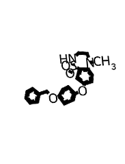 CN1CCNS(=O)(=O)c2cc(Oc3ccc(OCc4ccccc4)cc3)ccc21